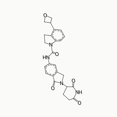 O=C1CCC(N2Cc3cc(NC(=O)N4CCc5c(C6COC6)cccc54)ccc3C2=O)C(=O)N1